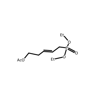 CCOP(=O)(CC=CCCOC(C)=O)OCC